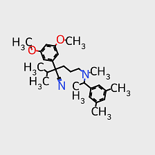 COc1cc(OC)cc(C(C#N)(CCCN(C)C(C)c2cc(C)cc(C)c2)C(C)C)c1